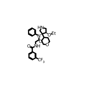 CCO[C@@H]1CNC[C@@]1(C1CCOCC1)N(C(=O)CNC(=O)c1cccc(C(F)(F)F)c1)c1ccccc1